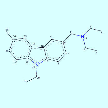 CCN(CC)Cc1ccc2c(c1)c1cc(C)ccc1n2CC